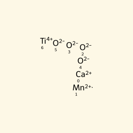 [Ca+2].[Mn+2].[O-2].[O-2].[O-2].[O-2].[Ti+4]